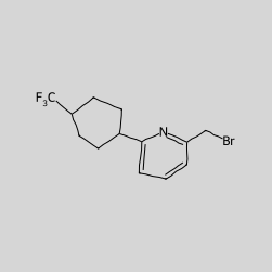 FC(F)(F)C1CCC(c2cccc(CBr)n2)CC1